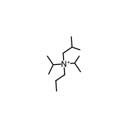 CCC[N+](CC(C)C)(C(C)C)C(C)C